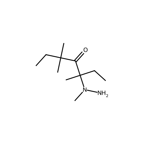 CCC(C)(C)C(=O)C(C)(CC)N(C)N